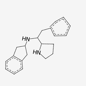 c1ccc(CC(NC2Cc3ccccc3C2)C2CCCN2)cc1